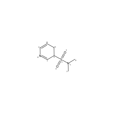 CN(C)S(=O)(=O)C1C=NC=CC1